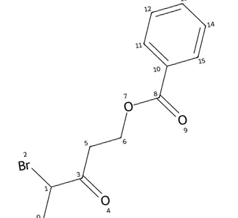 CC(Br)C(=O)CCOC(=O)c1ccccc1